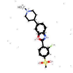 CS(=O)(=O)c1ccc(-c2nc3ccc(C4CCN(C(=O)O)CC4)cc3o2)c(F)c1